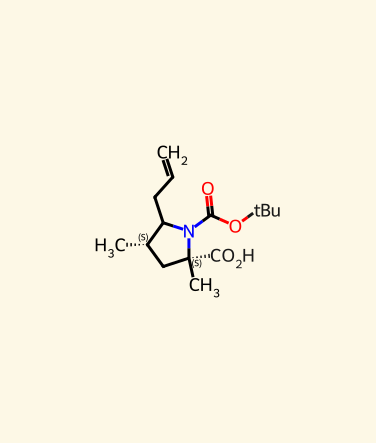 C=CCC1[C@@H](C)C[C@@](C)(C(=O)O)N1C(=O)OC(C)(C)C